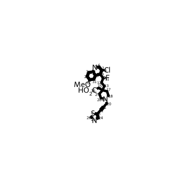 COc1ccc2ncc(Cl)c([C@@H](F)CCC3(CC(=O)O)CCN(CC#Cc4cncs4)CC3)c2c1